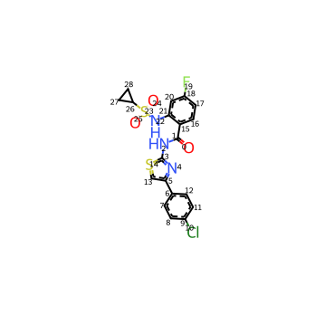 O=C(Nc1nc(-c2ccc(Cl)cc2)cs1)c1ccc(F)cc1NS(=O)(=O)C1CC1